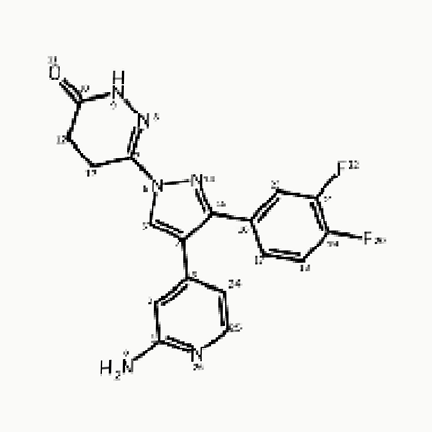 Nc1cc(-c2cn(C3=NNC(=O)CC3)nc2-c2ccc(F)c(F)c2)ccn1